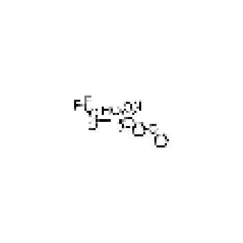 CC1(C)[C@H](C#CC(=O)OCC(F)F)[C@@]1(C(=O)O)[C@@H](C#N)c1cccc(Oc2ccccc2)c1